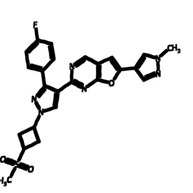 Cn1cc(-c2cc3cnc(-c4cn(C5CC(S(C)(=O)=O)C5)nc4-c4ccc(F)cc4)nc3o2)cn1